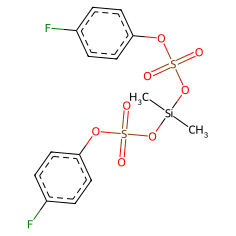 C[Si](C)(OS(=O)(=O)Oc1ccc(F)cc1)OS(=O)(=O)Oc1ccc(F)cc1